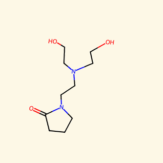 O=C1CCCN1CCN(CCO)CCO